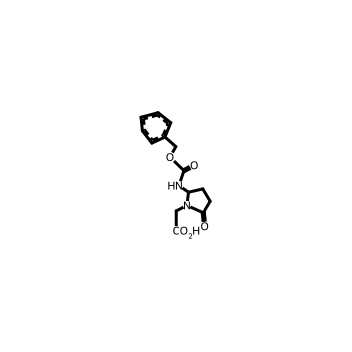 O=C(O)CN1C(=O)CCC1NC(=O)OCc1ccccc1